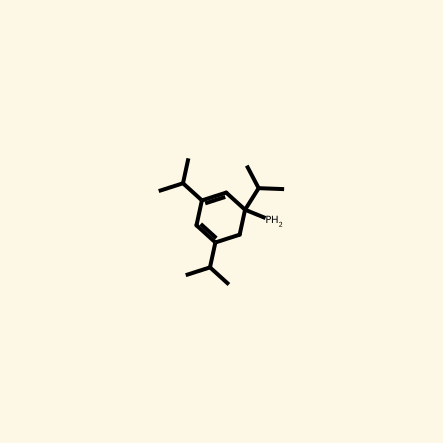 CC(C)C1=CC(P)(C(C)C)CC(C(C)C)=C1